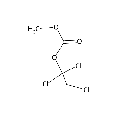 COC(=O)OC(Cl)(Cl)CCl